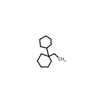 CCC1(C2CCCCC2)[C]CCCC1